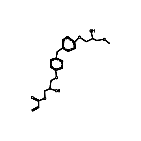 C=CC(=O)OCC(O)COc1ccc(Cc2ccc(OCC(O)COC)cc2)cc1